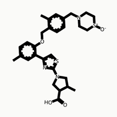 Cc1ccc(OCc2ccc(CN3CC[S+]([O-])CC3)cc2C)c(-c2csc(N3CC(C)C(C(=O)O)C3)n2)c1